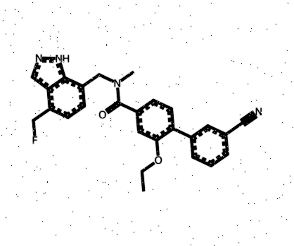 CCOc1cc(C(=O)N(C)Cc2ccc(CF)c3cn[nH]c23)ccc1-c1cccc(C#N)c1